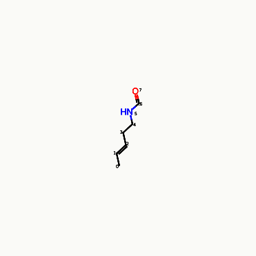 CC=CCCN[C]=O